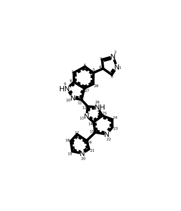 C1=NN=CC1c1ccc2[nH]nc(-c3nc4c(-c5cccnc5)nccc4[nH]3)c2c1